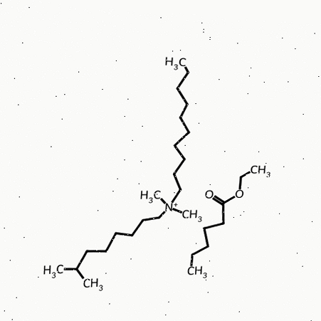 CCCCCC(=O)OCC.CCCCCCCCCC[N+](C)(C)CCCCCCC(C)C